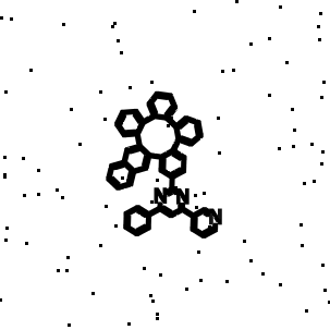 c1ccc(-c2cc(-c3cccnc3)nc(-c3ccc4c5ccccc5c5ccccc5c5ccccc5c5cc6ccccc6cc5c4c3)n2)cc1